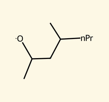 CCCC(C)CC(C)[O]